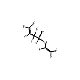 FC(F)=C(F)OC(F)(F)C(F)(F)C(F)=C(F)F